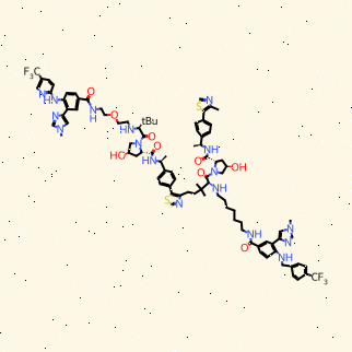 Cc1ncsc1-c1ccc([C@H](C)NC(=O)[C@@H]2C[C@@H](O)CN2C(=O)[C@@H](NCCCCCCCNC(=O)c2ccc(NCc3ccc(C(F)(F)F)cc3)c(-c3cn(C)cn3)c2)C(C)(C)CCc2ncsc2-c2ccc([C@H](C)NC(=O)[C@@H]3C[C@@H](O)CN3C(=O)[C@@H](NCCOCCNC(=O)c3ccc(Nc4ccc(C(F)(F)F)cn4)c(-c4cn(C)cn4)c3)C(C)(C)C)cc2)cc1